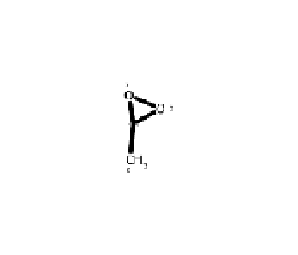 C[C]1OO1